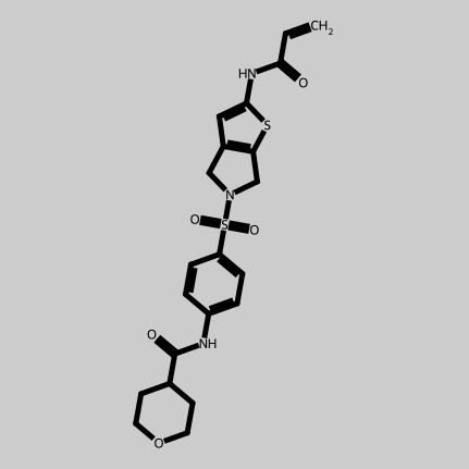 C=CC(=O)Nc1cc2c(s1)CN(S(=O)(=O)c1ccc(NC(=O)C3CCOCC3)cc1)C2